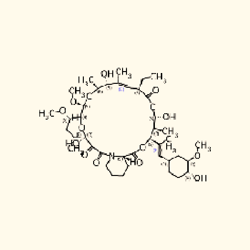 CC[C@@H]1/C=C(\C)[C@@H](O)[C@H](C)C[C@H](OC)[C@H]2O[C@@](O)(C(=O)C(=O)N3CCCC[C@H]3C(=O)O[C@H](/C(C)=C/[C@@H]3CC[C@@H](O)[C@H](OC)C3)[C@H](C)[C@@H](O)CC1=O)[C@H](C)C[C@@H]2OC